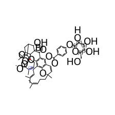 COC(=O)/C(C)=C\CC12OC(C)(C)C3CC(C1=O)C(O)C1(Br)C(=O)c4c(OC(=O)c5ccc(O[C@@H]6O[C@H](CO)[C@@H](O)[C@H](O)[C@H]6O)cc5)c5c(c(CC=C(C)C)c4OC321)OC(C)(CCC=C(C)C)C=C5